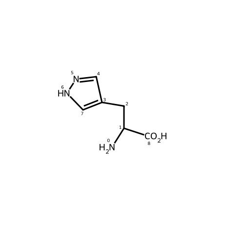 NC(Cc1cn[nH]c1)C(=O)O